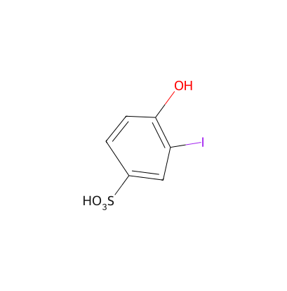 O=S(=O)(O)c1ccc(O)c(I)c1